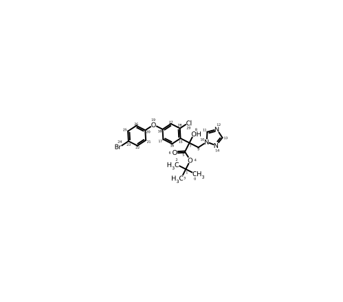 CC(C)(C)OC(=O)C(O)(Cn1cncn1)c1ccc(Oc2ccc(Br)cc2)cc1Cl